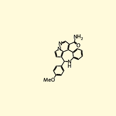 COc1ccc(C2Nc3ccccc3-c3c(C(N)=O)cnn4ccc2c34)cc1